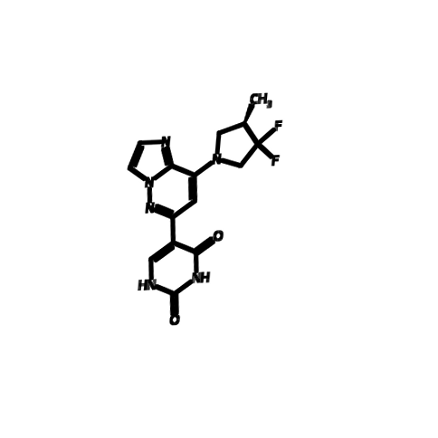 C[C@@H]1CN(c2cc(-c3c[nH]c(=O)[nH]c3=O)nn3ccnc23)CC1(F)F